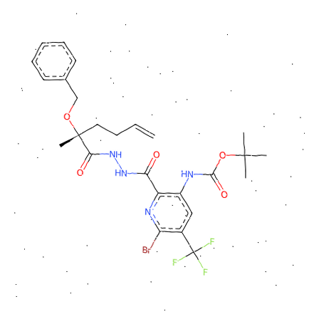 C=CCC[C@@](C)(OCc1ccccc1)C(=O)NNC(=O)c1nc(Br)c(C(F)(F)F)cc1NC(=O)OC(C)(C)C